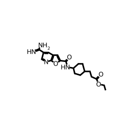 CCOC(=O)CCC1CCC(NC(=O)c2cc3cc(C(=N)N)cnc3o2)CC1